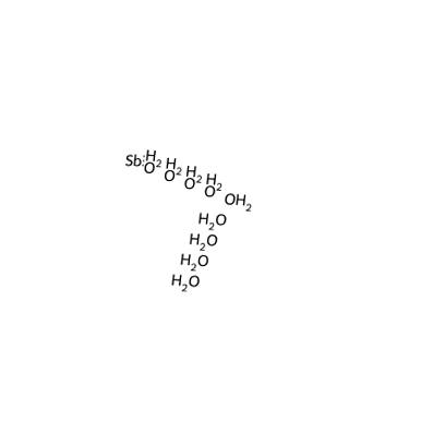 O.O.O.O.O.O.O.O.O.[Sb]